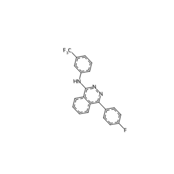 Fc1ccc(-c2nnc(Nc3cccc(C(F)(F)F)c3)c3ccccc23)cc1